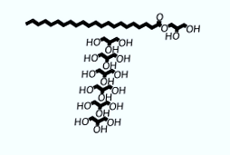 CCCCCCCCCCCCCCCCCCCCCC(=O)OCC(O)CO.OCC(O)CO.OCC(O)CO.OCC(O)CO.OCC(O)CO.OCC(O)CO.OCC(O)CO